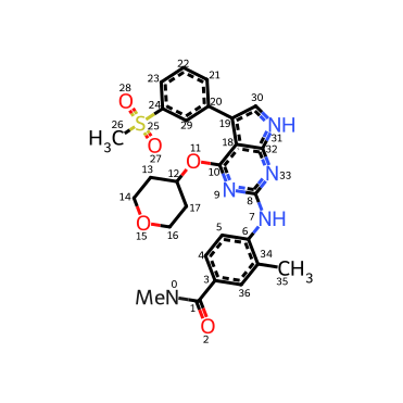 CNC(=O)c1ccc(Nc2nc(OC3CCOCC3)c3c(-c4cccc(S(C)(=O)=O)c4)c[nH]c3n2)c(C)c1